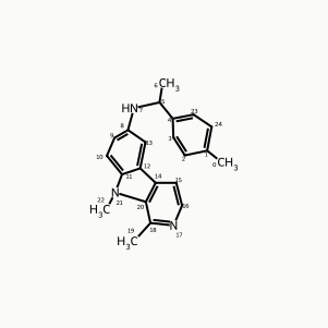 Cc1ccc(C(C)Nc2ccc3c(c2)c2ccnc(C)c2n3C)cc1